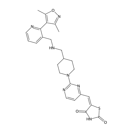 Cc1noc(C)c1-c1ncccc1CNCC1CCN(c2nccc(C=C3SC(=O)NC3=O)n2)CC1